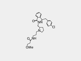 COCCC(=O)NCCCN1CCC[C@@H]1Cn1nc(Cc2ccc(Cl)cc2)c2ccccc2c1=O